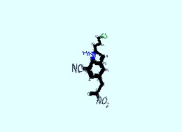 CC(Cc1cc(C#N)c2[nH]c(CCCCl)cc2c1)[N+](=O)[O-]